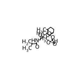 C=C(C)C(=O)NCC(=O)OC1(C)C2(C)CCC(O2)C1(C)O[SH](=O)=O